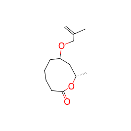 C=C(C)COC1CCCCC(=O)O[C@@H](C)C1